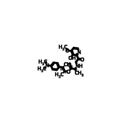 COc1ccnc(C(=O)CN[C@@H](C)C(=O)O[C@@H](C)[C@@H](C)c2ccc(N(C)C)cc2)c1O